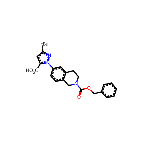 CC(C)(C)c1cc(C(=O)O)n(-c2ccc3c(c2)CCN(C(=O)OCc2ccccc2)C3)n1